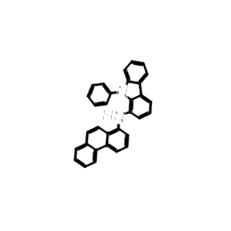 c1ccc(-n2c3ccccc3c3cccc(Nc4cccc5c4ccc4ccccc45)c32)cc1